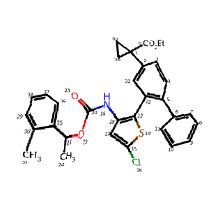 CCOC(=O)C1(c2ccc(-c3ccccc3)c(-c3sc(Cl)cc3NC(=O)OC(C)c3ccccc3C)c2)CC1